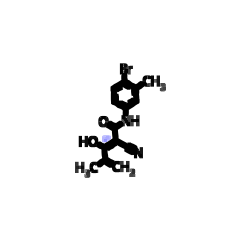 C=C(C)/C(O)=C(\C#N)C(=O)Nc1ccc(Br)c(C)c1